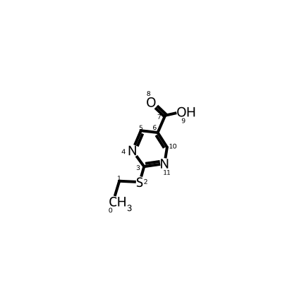 CCSc1ncc(C(=O)O)cn1